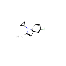 Cc1cc2cc(Br)ccc2n1C1CC1